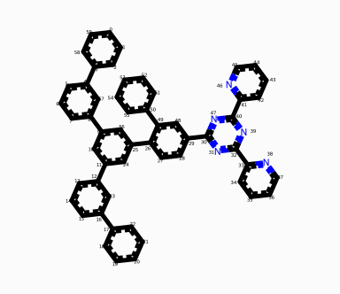 c1ccc(-c2cccc(-c3cc(-c4cccc(-c5ccccc5)c4)cc(-c4ccc(-c5nc(-c6ccccn6)nc(-c6ccccn6)n5)cc4-c4ccccc4)c3)c2)cc1